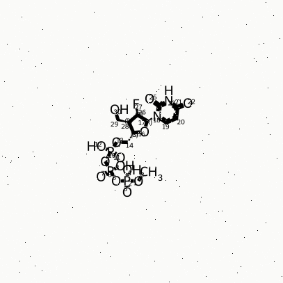 COP(=O)(O)OP(=O)(O)OP(=O)(O)OC[C@H]1O[C@@H](n2ccc(=O)[nH]c2=O)[C@H](F)[C@@H]1CO